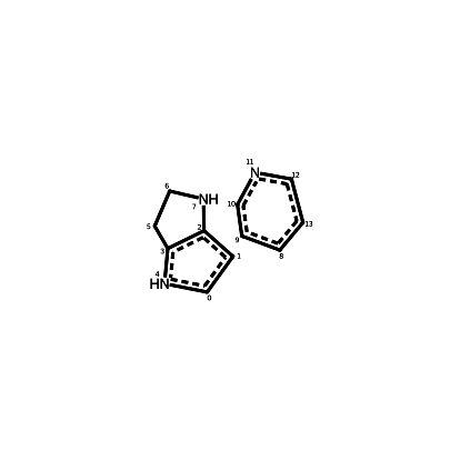 c1cc2c([nH]1)CCN2.c1ccncc1